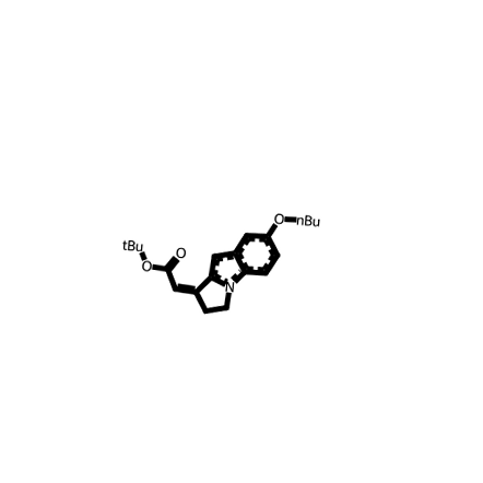 CCCCOc1ccc2c(c1)cc1n2CC/C1=C/C(=O)OC(C)(C)C